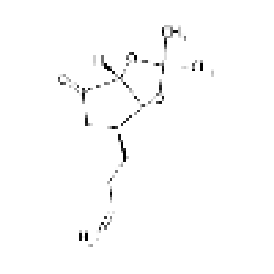 C=CCC[C@H]1CC(=O)[C@@H]2OC(C)(C)OC12